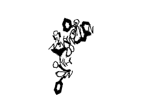 O=C(Cn1c(N2CCOCC2)ncc(NC(=O)c2cnc(-c3ccccc3)o2)c1=O)NCc1cc2cnccc2n1S(=O)(=O)c1ccccc1